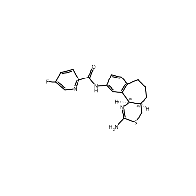 NC1=N[C@H]2c3cc(NC(=O)c4ccc(F)cn4)ccc3CCC[C@H]2CS1